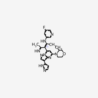 CC(=N)/C(=C(/C)Nc1cncc(F)c1)c1cc(N2CCOCC2C)nc2c(-c3ccn[nH]3)cnn12